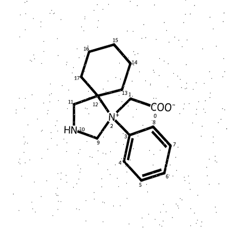 O=C([O-])C[N+]1(c2ccccc2)CNCC12CCCCC2